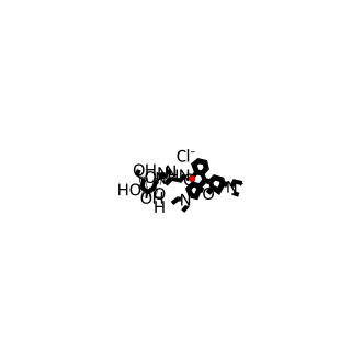 CCN(CC)c1ccc2c(-c3ccccc3C(=O)NCc3cn([C@@H]4O[C@H](CO)[C@@H](O)[C@H](O)[C@H]4O)nn3)c3ccc(=[N+](CC)CC)cc-3oc2c1.[Cl-]